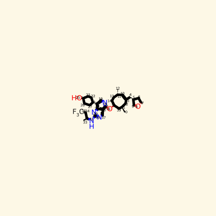 C[C@@H]1C/C(C[C@@H]2CCOC2)=C\[C@@H](C)CC[C@H](Oc2ncc([C@H]3CC[C@H](O)CC3)c3nc(N[C@@H](C)CC(F)(F)F)ncc23)C1